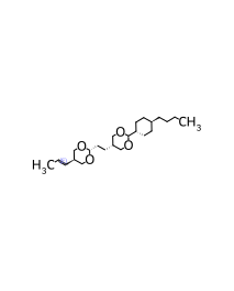 C/C=C/[C@H]1CO[C@H](CC[C@H]2CO[C@H]([C@H]3CC[C@H](CCCC)CC3)OC2)OC1